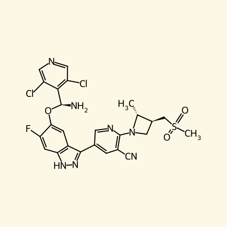 C[C@@H]1[C@@H](CS(C)(=O)=O)CN1c1ncc(-c2n[nH]c3cc(F)c(O[C@H](N)c4c(Cl)cncc4Cl)cc23)cc1C#N